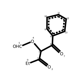 CCC(=O)C(OC=O)C(=O)c1ccccc1